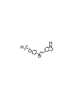 CCOc1ccc(C(=O)/C=C/c2ccc3[nH]ccc3c2)cc1